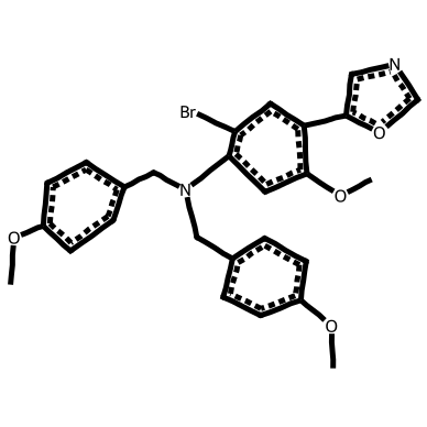 COc1ccc(CN(Cc2ccc(OC)cc2)c2cc(OC)c(-c3cnco3)cc2Br)cc1